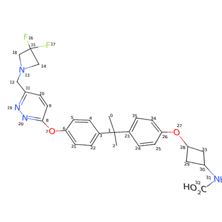 CC(C)(c1ccc(Oc2ccc(CN3CC(F)(F)C3)nn2)cc1)c1ccc(OC2CC(NC(=O)O)C2)cc1